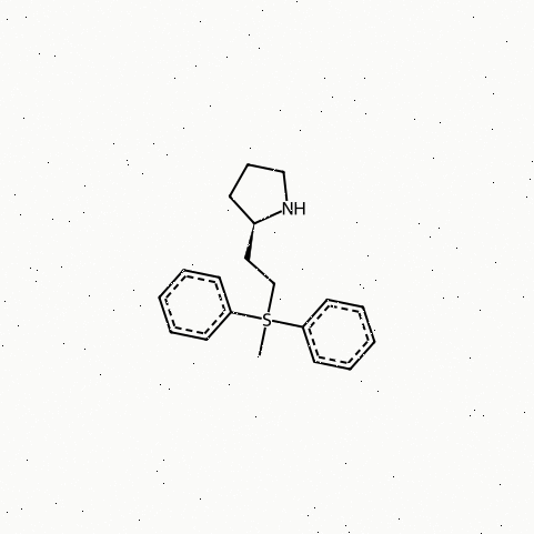 CS(CC[C@H]1CCCN1)(c1ccccc1)c1ccccc1